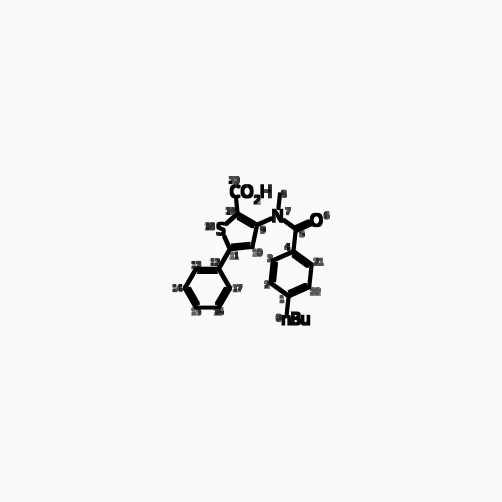 CCCCc1ccc(C(=O)N(C)c2cc(-c3ccccc3)sc2C(=O)O)cc1